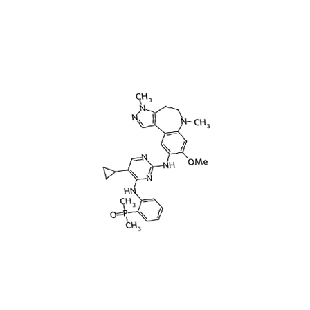 COc1cc2c(cc1Nc1ncc(C3CC3)c(Nc3ccccc3P(C)(C)=O)n1)-c1cnn(C)c1CCN2C